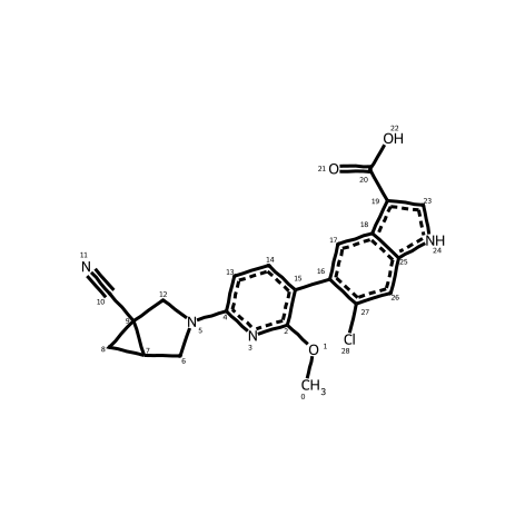 COc1nc(N2CC3CC3(C#N)C2)ccc1-c1cc2c(C(=O)O)c[nH]c2cc1Cl